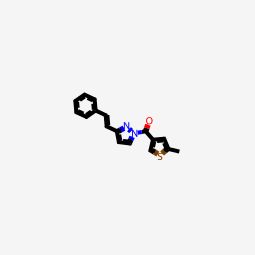 Cc1cc(C(=O)n2ccc(/C=C/c3ccccc3)n2)cs1